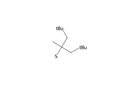 CC(C)(C)CC(C)([S])CC(C)(C)C